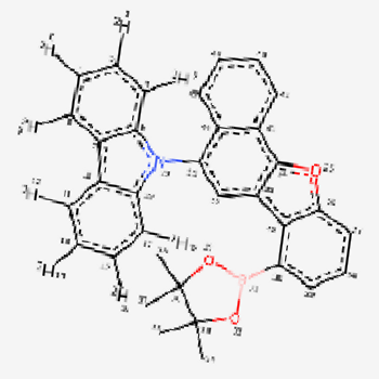 [2H]c1c([2H])c([2H])c2c(c1[2H])c1c([2H])c([2H])c([2H])c([2H])c1n2-c1cc2c(oc3cccc(B4OC(C)(C)C(C)(C)O4)c32)c2ccccc12